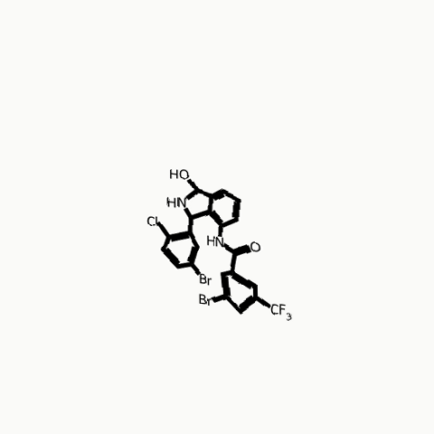 O=C(Nc1cccc2c1C(c1cc(Br)ccc1Cl)NC2O)c1cc(Br)cc(C(F)(F)F)c1